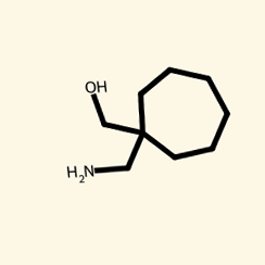 NCC1(CO)CCCCCC1